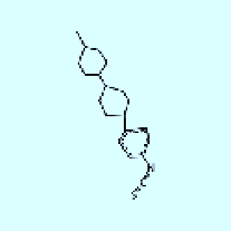 CC1CCC(C2CCC(c3ccc(N=C=S)cc3)CC2)CC1